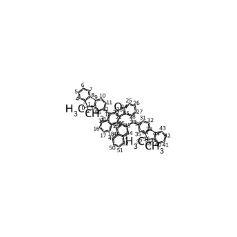 CC1(C)c2ccccc2-c2ccc(-c3c4ccccc4cc4c3oc3cccc(C(c5ccc6c(c5)C(C)(C)c5ccccc5-6)c5ccc6ccccc6c5)c34)cc21